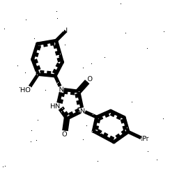 CC(C)c1ccc(-n2c(=O)[nH]n(-c3cc(I)ccc3O)c2=O)cc1